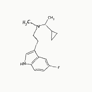 CC(C1CC1)N(C)CCc1c[nH]c2ccc(F)cc12